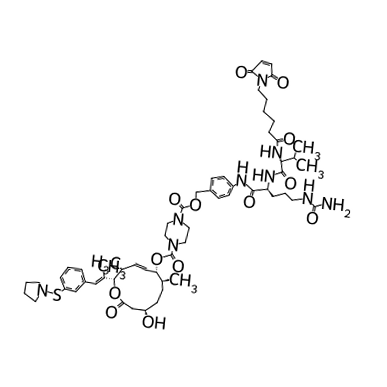 C/C(=C\c1cccc(SN2CCCC2)c1)[C@H]1OC(=O)C[C@H](O)CC[C@H](C)[C@@H](OC(=O)N2CCN(C(=O)OCc3ccc(NC(=O)[C@H](CCCNC(N)=O)NC(=O)[C@@H](NC(=O)CCCCCN4C(=O)C=CC4=O)C(C)C)cc3)CC2)/C=C/[C@@H]1C